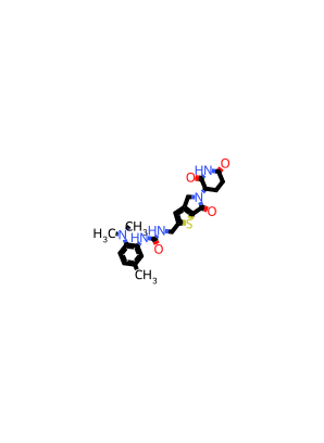 Cc1ccc(N(C)C)c(NC(=O)NCc2cc3c(s2)C(=O)N(C2CCC(=O)NC2=O)C3)c1